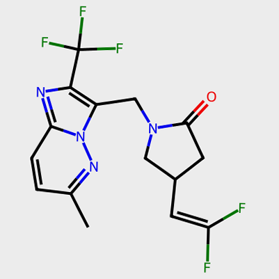 Cc1ccc2nc(C(F)(F)F)c(CN3CC(C=C(F)F)CC3=O)n2n1